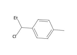 CCC(Cl)c1ccc(C)cc1